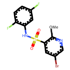 COc1ncc(Br)cc1S(=O)(=O)Nc1cc(F)ccc1F